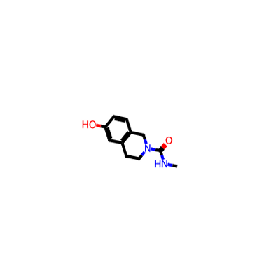 CNC(=O)N1CCc2cc(O)ccc2C1